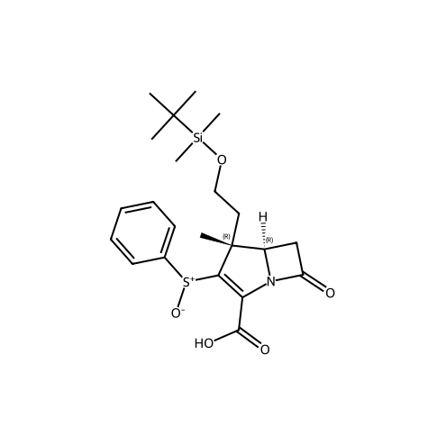 CC(C)(C)[Si](C)(C)OCC[C@@]1(C)C([S+]([O-])c2ccccc2)=C(C(=O)O)N2C(=O)C[C@@H]21